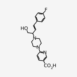 O=C(O)c1ccc(N2CCN(C(/C=C/c3ccc(F)cc3)CO)CC2)nc1